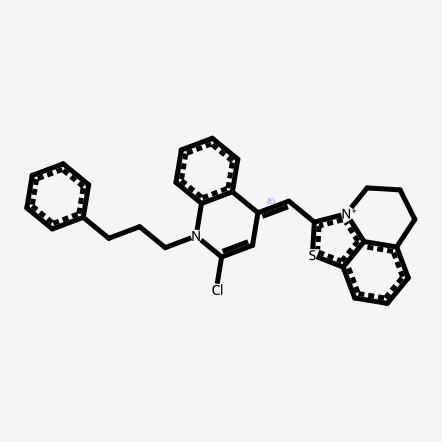 ClC1=C/C(=C\c2sc3cccc4c3[n+]2CCC4)c2ccccc2N1CCCc1ccccc1